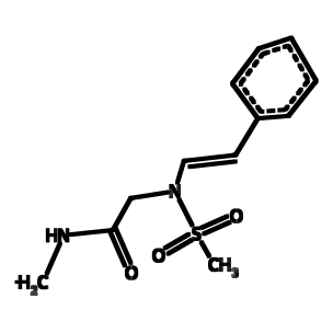 [CH2]NC(=O)CN(C=Cc1ccccc1)S(C)(=O)=O